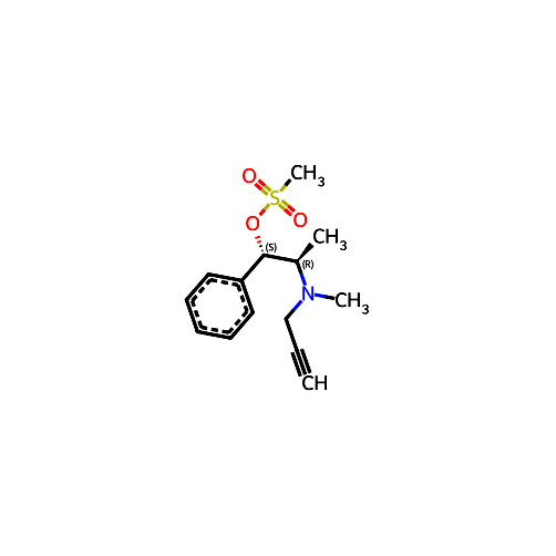 C#CCN(C)[C@H](C)[C@@H](OS(C)(=O)=O)c1ccccc1